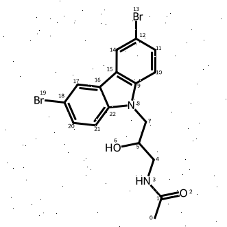 CC(=O)NCC(O)Cn1c2ccc(Br)cc2c2cc(Br)ccc21